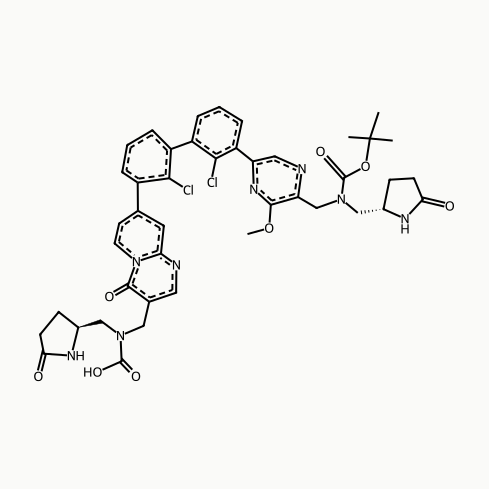 COc1nc(-c2cccc(-c3cccc(-c4ccn5c(=O)c(CN(C[C@@H]6CCC(=O)N6)C(=O)O)cnc5c4)c3Cl)c2Cl)cnc1CN(C[C@@H]1CCC(=O)N1)C(=O)OC(C)(C)C